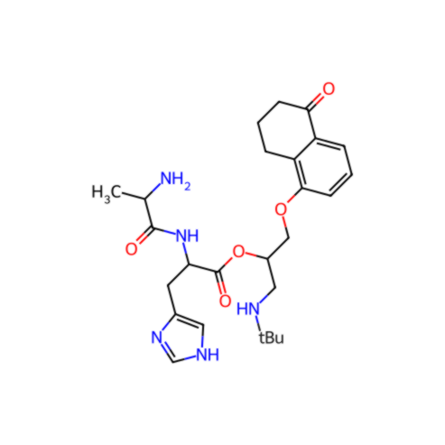 CC(N)C(=O)NC(Cc1c[nH]cn1)C(=O)OC(CNC(C)(C)C)COc1cccc2c1CCCC2=O